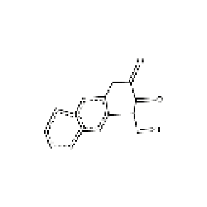 O=[C]C1C(=O)C(=O)Cc2cc3ccccc3cc21